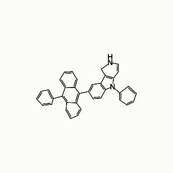 C1=Cc2c(c3cc(-c4c5ccccc5c(-c5ccccc5)c5ccccc45)ccc3n2-c2ccccc2)CN1